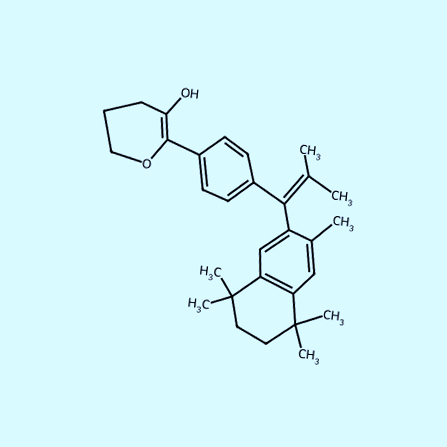 CC(C)=C(c1ccc(C2=C(O)CCCO2)cc1)c1cc2c(cc1C)C(C)(C)CCC2(C)C